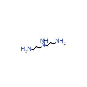 [NH]N(CCCN)CCCN